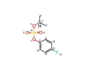 C[SiH](C)OS(=O)(=O)Oc1ccc(F)cc1